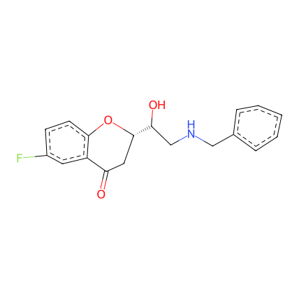 O=C1C[C@@H](C(O)CNCc2ccccc2)Oc2ccc(F)cc21